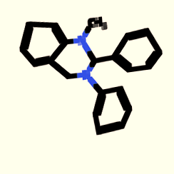 CN1c2ccccc2CN(c2ccccc2)C1c1ccccc1